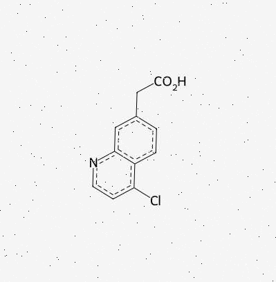 O=C(O)Cc1ccc2c(Cl)ccnc2c1